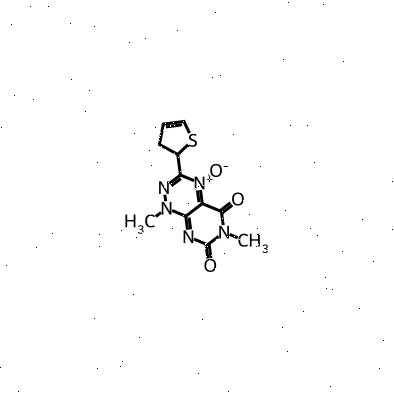 Cn1nc(C2CC=CS2)[n+]([O-])c2c(=O)n(C)c(=O)nc1-2